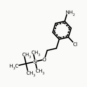 CC(C)(C)[Si](C)(C)OCCc1ccc(N)cc1Cl